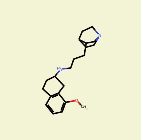 COc1cccc2c1CC(NCCCC1CN3CCC1CC3)CC2